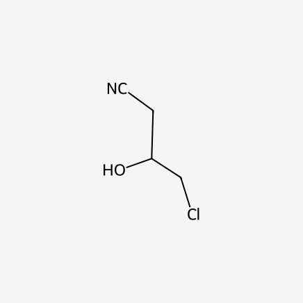 N#CCC(O)CCl